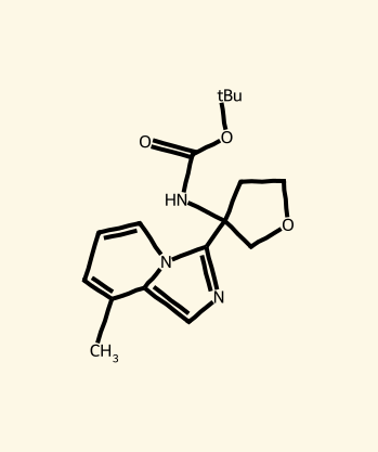 Cc1cccn2c(C3(NC(=O)OC(C)(C)C)CCOC3)ncc12